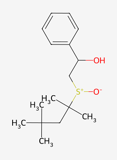 CC(C)(C)CC(C)(C)[S+]([O-])CC(O)c1ccccc1